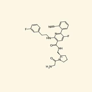 N#Cc1ccccc1-c1nc(NCCc2cccc(F)c2)c(C(=O)NC[C@H]2CCCN2C(=O)CN)cc1F